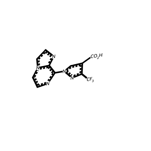 O=C(O)c1cn(-c2nccn3ccnc23)nc1C(F)(F)F